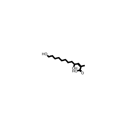 CC(=CC(O)CCCCCCCCO)C(=O)O